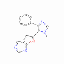 Cn1cnc(-c2ccccc2)c1-c1cc2cncnc2o1